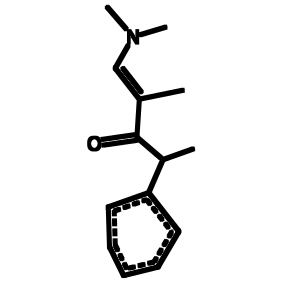 C/C(=C\N(C)C)C(=O)C(C)c1ccccc1